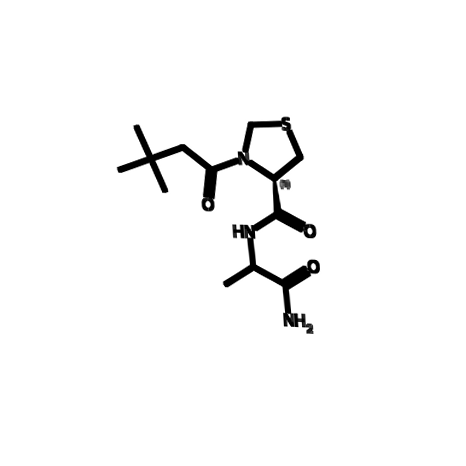 CC(NC(=O)[C@@H]1CSCN1C(=O)CC(C)(C)C)C(N)=O